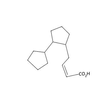 O=C(O)/C=C\CC1CCCC1C1CCCC1